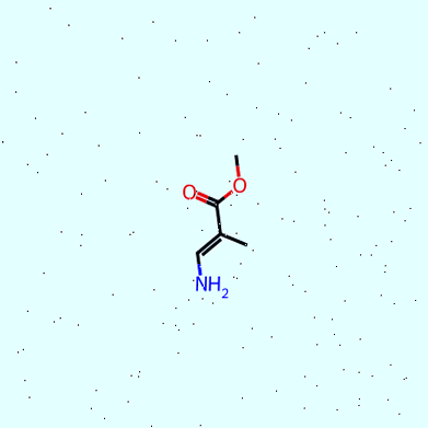 COC(=O)/C(C)=C/N